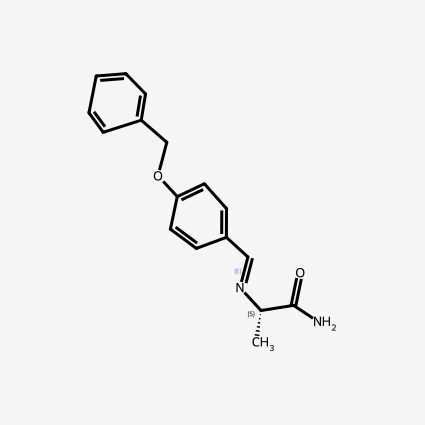 C[C@H](/N=C/c1ccc(OCc2ccccc2)cc1)C(N)=O